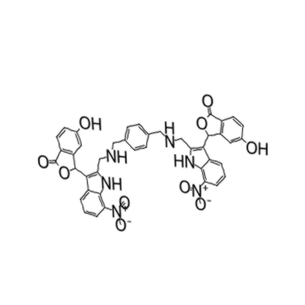 O=C1OC(c2c(CNCc3ccc(CNCc4[nH]c5c([N+](=O)[O-])cccc5c4C4OC(=O)c5ccc(O)cc54)cc3)[nH]c3c([N+](=O)[O-])cccc23)c2cc(O)ccc21